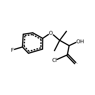 [CH]=C(Cl)C(O)C(C)(C)Oc1ccc(F)cc1